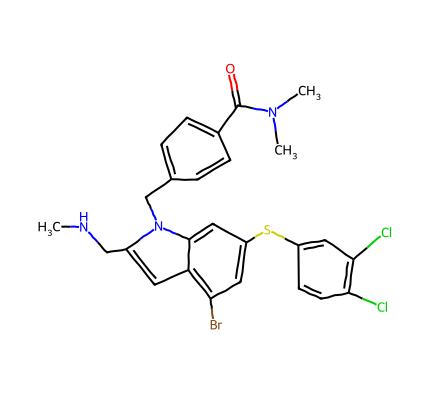 CNCc1cc2c(Br)cc(Sc3ccc(Cl)c(Cl)c3)cc2n1Cc1ccc(C(=O)N(C)C)cc1